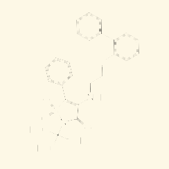 CC(C)(C)N1C(=O)C(NCCSc2ccccc2-c2ccccc2)=C(c2ccccc2)S1(=O)=O